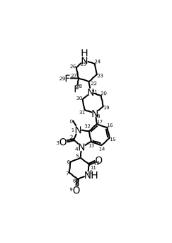 Cn1c(=O)n(C2CCC(=O)NC2=O)c2cccc(N3CCN(C4CCNCC4(F)F)CC3)c21